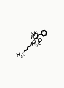 CCCCCCOc1nnnc(-c2ccccc2)c1OC